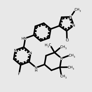 CN1C(C)(C)CC(Nc2nc(Nc3ccc(-c4cn(C)nc4Cl)cc3)ncc2F)CC1(C)C